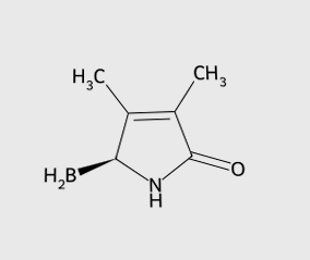 B[C@@H]1NC(=O)C(C)=C1C